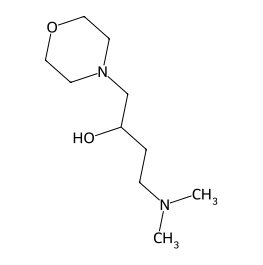 CN(C)CCC(O)CN1CCOCC1